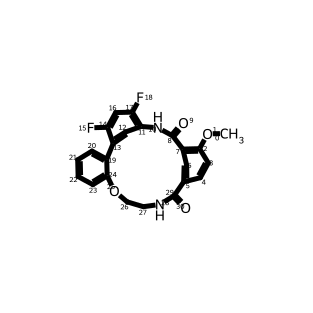 COc1ccc2cc1C(=O)Nc1cc(c(F)cc1F)-c1ccccc1OCCNC2=O